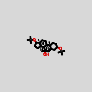 CC1(O)C=C2CC(O[Si](C)(C)C)CC[C@]2(C)[C@@H]2CC[C@]3(C)C(O[Si](C)(C)C)CC[C@H]3[C@@H]21